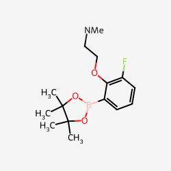 CNCCOc1c(F)cccc1B1OC(C)(C)C(C)(C)O1